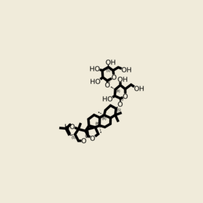 CC(C)=C[C@H]1CO[C@]23CC4(CO2)C(CCC2[C@@]5(C)CC[C@H](O[C@@H]6OC(CO)C(O)[C@@H](O[C@@H]7OC(CO)[C@@H](O)C(O)C7O)C6O)C(C)(C)C5CC[C@]24C)C3C1(C)O